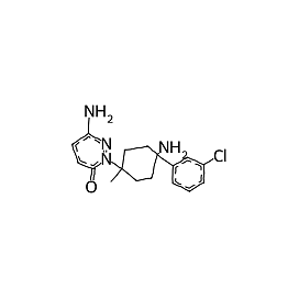 CC1(n2nc(N)ccc2=O)CCC(N)(c2cccc(Cl)c2)CC1